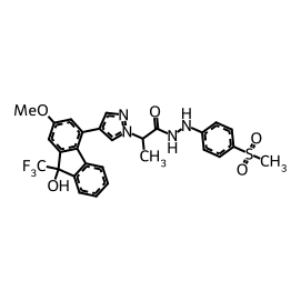 COc1cc(-c2cnn(C(C)C(=O)NNc3ccc(S(C)(=O)=O)cc3)c2)c2c(c1)C(O)(C(F)(F)F)c1ccccc1-2